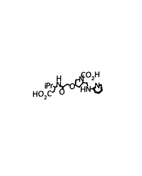 CC(C)C(CC(=O)O)NC(=O)COC1CC(CNc2ccccn2)N(C(=O)O)C1